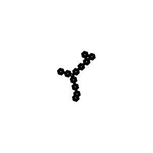 c1ccc(-c2ccc(N(c3ccc(-c4ccc(-c5ccc6ccccc6c5)cc4)cc3)c3ccc(-c4ccc(-c5ccc6c7ccccc7c7ccccc7c6c5)cc4)cc3)cc2)cc1